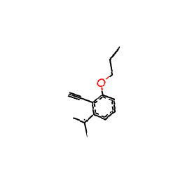 C#Cc1c(OCCC)cccc1[C](C)C